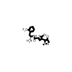 CCc1sc(C(=O)N[C@H](CN)Cc2ccccc2C(F)(F)F)cc1-c1c(Cl)cnn1C